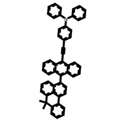 CC1(C)c2ccccc2-c2ccc(-c3c4ccccc4c(C#Cc4ccc(N(c5ccccc5)c5ccccc5)cc4)c4ccccc34)c3cccc1c23